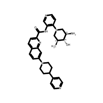 C[C@H]1CN(c2ccncc2NC(=O)c2ccc3ccc(N4CCC(c5ccncc5)CC4)cc3n2)C[C@@H](N)[C@@H]1O